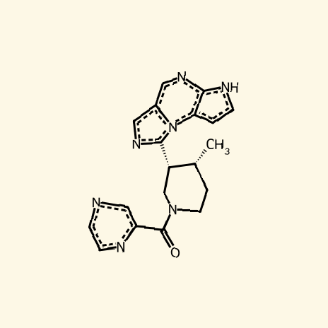 C[C@@H]1CCN(C(=O)c2cnccn2)C[C@@H]1c1ncc2cnc3[nH]ccc3n12